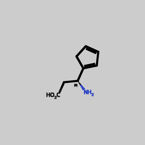 N[C@H](CC(=O)O)C1=CC=CC1